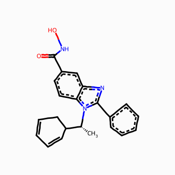 C[C@H](C1C=CC=CC1)n1c(-c2ccccc2)nc2cc(C(=O)NO)ccc21